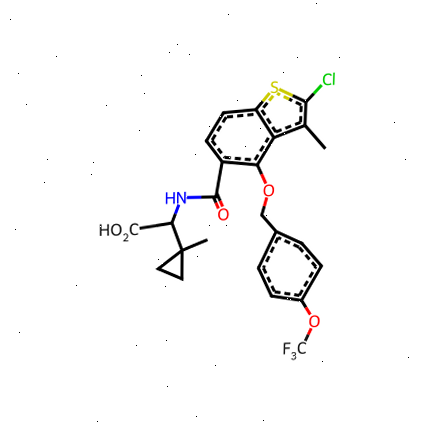 Cc1c(Cl)sc2ccc(C(=O)NC(C(=O)O)C3(C)CC3)c(OCc3ccc(OC(F)(F)F)cc3)c12